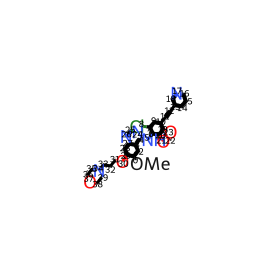 COc1cc2c(Nc3c(Cl)cc(C#Cc4cccnc4)c4c3OCO4)ncnc2cc1OCCCN1CCOCC1